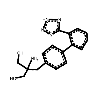 NC(CO)(CO)Cc1ccc(-c2ccccc2-c2nn[nH]n2)cc1